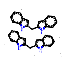 c1ccc2[nH]c(Cc3cc4ccccc4[nH]3)cc2c1.c1ccc2[nH]c(Cc3cc4ccccc4[nH]3)cc2c1